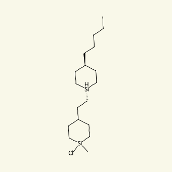 CCCCC[C@H]1CC[Si@H](CCC2CC[Si](C)(Cl)CC2)CC1